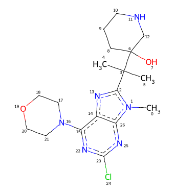 Cn1c(C(C)(C)C2(O)CCCNC2)nc2c(N3CCOCC3)nc(Cl)nc21